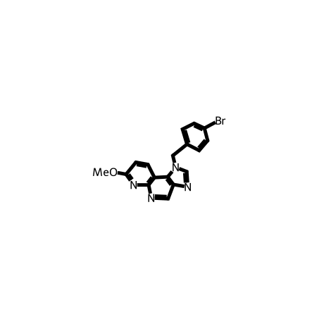 COc1ccc2c(ncc3ncn(Cc4ccc(Br)cc4)c32)n1